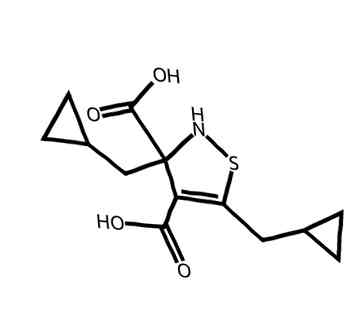 O=C(O)C1=C(CC2CC2)SNC1(CC1CC1)C(=O)O